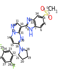 CS(=O)(=O)c1ccc2[nH]c(-c3cnn4ccc(N5CCC[C@@H]5c5cc(F)ccc5F)nc34)nc2c1